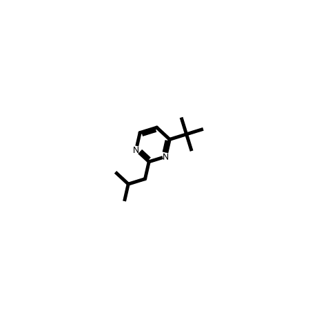 CC(C)Cc1nccc(C(C)(C)C)n1